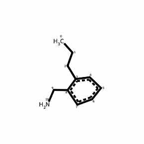 CC[CH]c1ccccc1CN